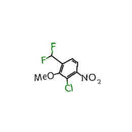 COc1c(C(F)F)ccc([N+](=O)[O-])c1Cl